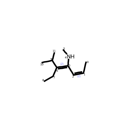 C/C=C\C(NC)=C(/CC)C(C)C